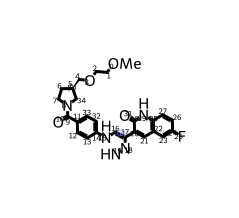 COCCOC[C@@H]1CCN(C(=O)c2ccc(N/C=C(\N=N)c3cc4cc(F)ccc4[nH]c3=O)cc2)C1